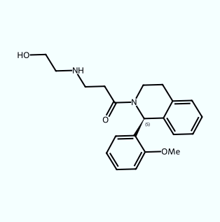 COc1ccccc1[C@@H]1c2ccccc2CCN1C(=O)CCNCCO